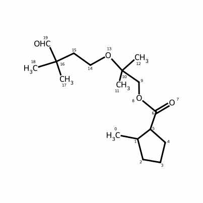 CC1CCCC1C(=O)OCC(C)(C)OCCC(C)(C)C=O